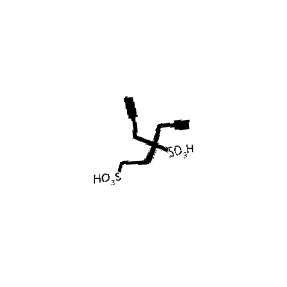 C#CCC(CC#C)(CCS(=O)(=O)O)S(=O)(=O)O